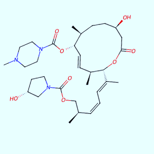 C/C(=C\C=C/[C@@H](C)COC(=O)N1CC[C@@H](O)C1)[C@H]1OC(=O)C[C@H](O)CC[C@H](C)[C@@H](OC(=O)N2CCN(C)CC2)/C=C/[C@@H]1C